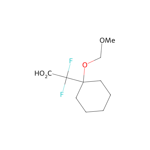 COCOC1(C(F)(F)C(=O)O)CCCCC1